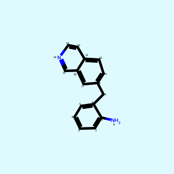 Nc1ccccc1Cc1ccc2ccncc2c1